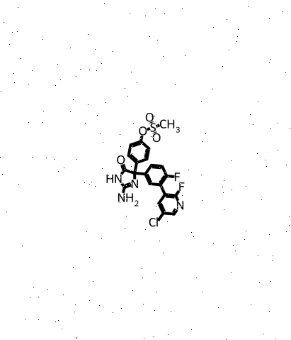 CS(=O)(=O)Oc1ccc(C2(c3ccc(F)c(-c4cc(Cl)cnc4F)c3)N=C(N)NC2=O)cc1